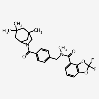 CN(Cc1ccc(C(=O)N2CC3(C)CC2CC(C)(C)C3)cc1)C(=O)c1cccc2c1OC(F)(F)O2